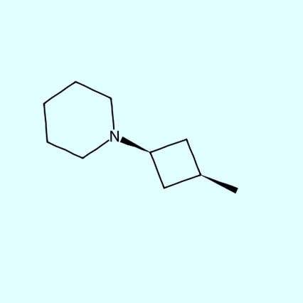 C[C@H]1C[C@@H](N2CCCCC2)C1